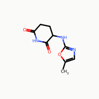 Cc1cnc(NC2CCC(=O)NC2=O)o1